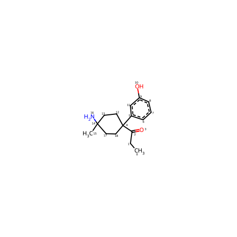 CCC(=O)C1(c2cccc(O)c2)CCC(C)(N)CC1